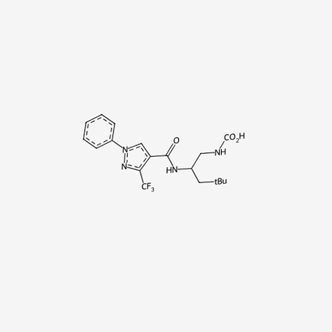 CC(C)(C)CC(CNC(=O)O)NC(=O)c1cn(-c2ccccc2)nc1C(F)(F)F